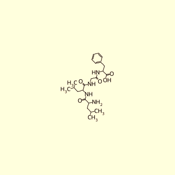 CC(C)CC(N)C(=O)NC(CC(C)C)C(=O)NCC(=O)NC(Cc1ccccc1)C(=O)O